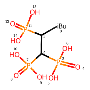 CCC(C)C(C(P(=O)(O)O)P(=O)(O)O)P(=O)(O)O